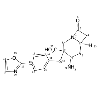 NC1S[C@@H]2CC(=O)N2CC1(Sc1ccc(-c2ncco2)cc1)C(=O)O